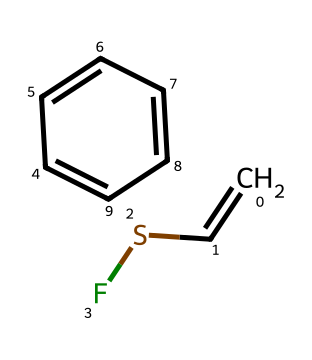 C=CSF.c1ccccc1